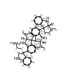 CNCC[C@@]1(c2cccc3c2N[C@H]2N(C)CC[C@@]32[C@]23CCN(C)[C@H]2Nc2c([C@]45CCN(C)[C@H]4Nc4ccccc45)cccc23)CNc2ccccc21